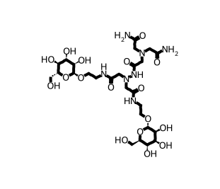 NC(=O)CN(CC(N)=O)CC(=O)NN(CC(=O)NCCO[C@H]1O[C@H](CO)[C@@H](O)[C@H](O)[C@@H]1O)CC(=O)NCCO[C@H]1O[C@H](CO)[C@@H](O)[C@H](O)[C@@H]1O